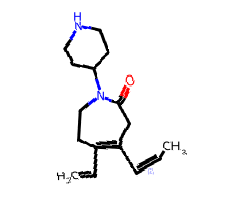 C=CC1=C(/C=C\C)CC(=O)N(C2CCNCC2)CC1